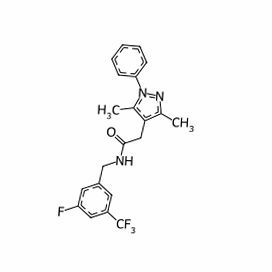 Cc1nn(-c2ccccc2)c(C)c1CC(=O)NCc1cc(F)cc(C(F)(F)F)c1